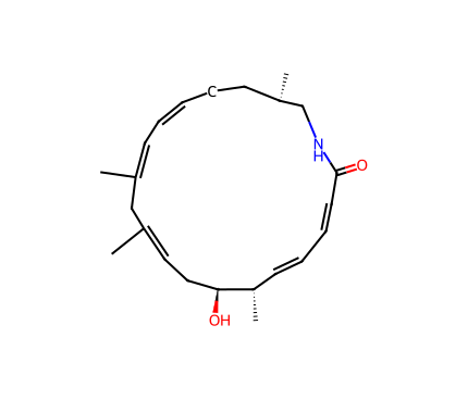 C/C1=C/C=C\CC[C@H](C)CNC(=O)/C=C\C=C/[C@H](C)[C@@H](O)C/C=C(/C)C1